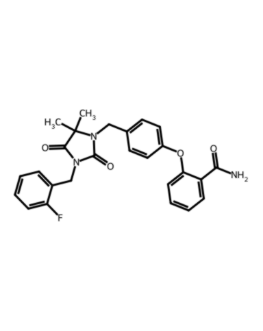 CC1(C)C(=O)N(Cc2ccccc2F)C(=O)N1Cc1ccc(Oc2ccccc2C(N)=O)cc1